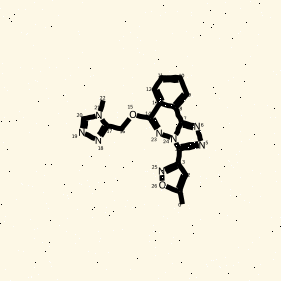 Cc1cc(-c2nnc3c4ccccc4c(OCc4nncn4C)nn23)no1